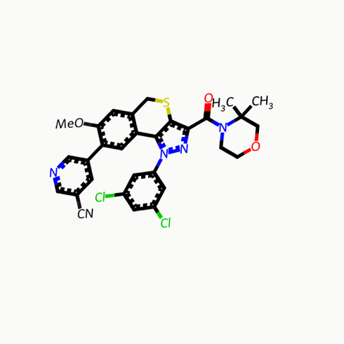 COc1cc2c(cc1-c1cncc(C#N)c1)-c1c(c(C(=O)N3CCOCC3(C)C)nn1-c1cc(Cl)cc(Cl)c1)SC2